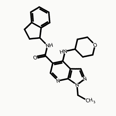 CCn1ncc2c(NC3CCOCC3)c(C(=O)NC3CCc4ccccc43)cnc21